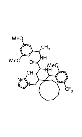 COc1cc(OC)cc(C(C)NC(=O)C2CC(Cn3ccnc3C)C3(CCCCCCCCC3)C(c3cc(C(F)(F)F)ccc3OC)N2)c1